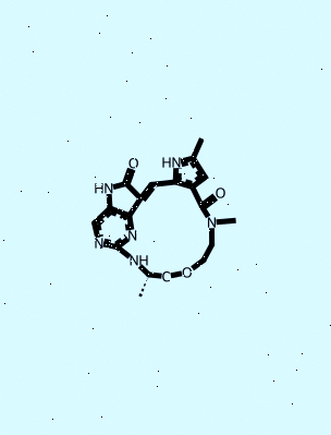 Cc1cc2c([nH]1)/C=C1\C(=O)Nc3cnc(nc31)N[C@@H](C)COCCN(C)C2=O